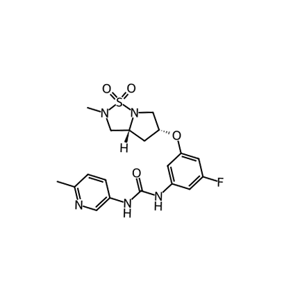 Cc1ccc(NC(=O)Nc2cc(F)cc(O[C@@H]3C[C@@H]4CN(C)S(=O)(=O)N4C3)c2)cn1